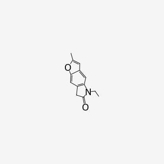 CCN1C(=O)Cc2cc3oc(C)cc3cc21